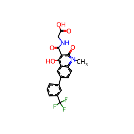 Cn1c(=O)c(C(=O)NCC(=O)O)c(O)c2cc(-c3cccc(C(F)(F)F)c3)ccc21